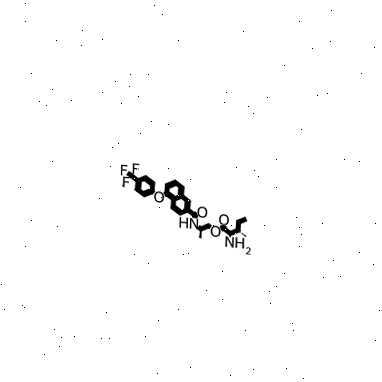 CC[C@H](C)[C@H](N)C(=O)OC[C@@H](C)NC(=O)c1ccc2c(Oc3ccc(C(F)(F)F)cc3)cccc2c1